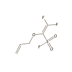 C=CCOC(=C(F)F)S(=O)(=O)F